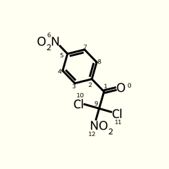 O=C(c1ccc([N+](=O)[O-])cc1)C(Cl)(Cl)[N+](=O)[O-]